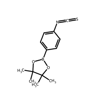 CC1(C)OB(c2ccc(N=C=S)cc2)OC1(C)C